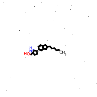 CCCCCCC1Cc2ccc([C@H]3CC[C@@](N)(CO)C3)cc2C1